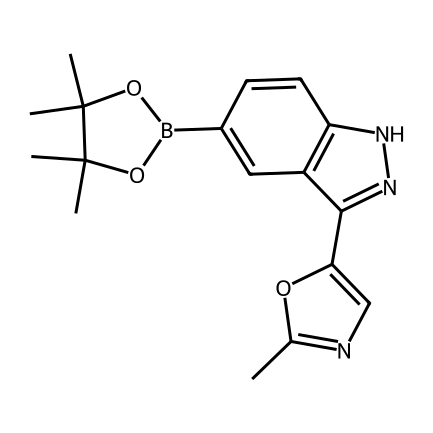 Cc1ncc(-c2n[nH]c3ccc(B4OC(C)(C)C(C)(C)O4)cc23)o1